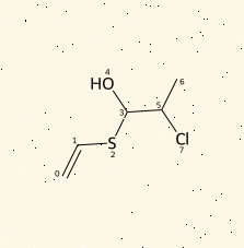 C=CSC(O)C(C)Cl